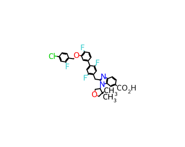 CC1(C)COC[C@H]1n1c(Cc2cc(F)c(-c3ccc(F)c(OCc4ccc(Cl)cc4F)c3)cc2F)nc2ccc(C(=O)O)cc21